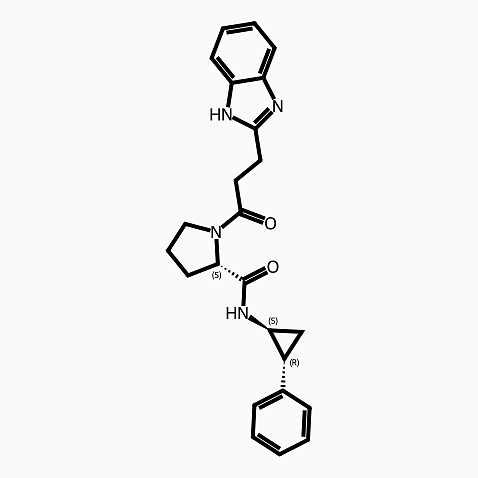 O=C(N[C@H]1C[C@@H]1c1ccccc1)[C@@H]1CCCN1C(=O)CCc1nc2ccccc2[nH]1